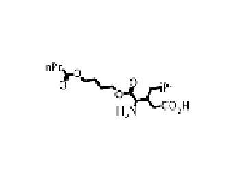 CCCC(=O)OCCCCOC(=O)C(N)C(CC(=O)O)CC(C)C